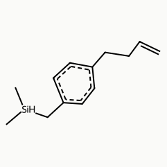 C=CCCc1ccc(C[SiH](C)C)cc1